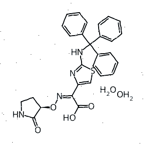 O.O.O=C(O)C(=NO[C@@H]1CCNC1=O)c1csc(NC(c2ccccc2)(c2ccccc2)c2ccccc2)n1